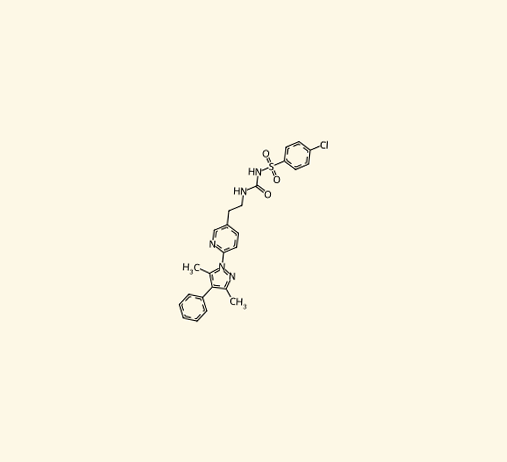 Cc1nn(-c2ccc(CCNC(=O)NS(=O)(=O)c3ccc(Cl)cc3)cn2)c(C)c1-c1ccccc1